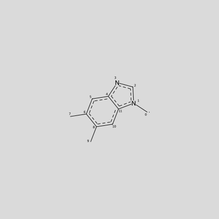 [CH2]n1cnc2cc(C)c(C)cc21